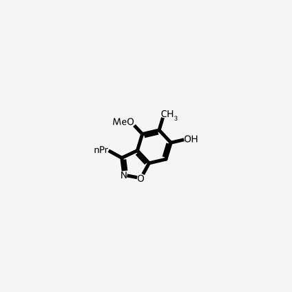 CCCc1noc2cc(O)c(C)c(OC)c12